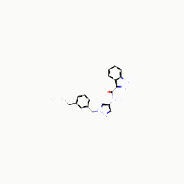 CNCc1cccc(Cn2cc(NC(=O)c3n[nH]c4ccccc34)cn2)c1